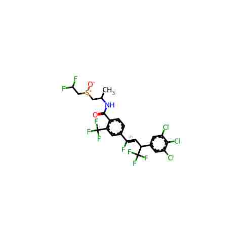 CC(C[S+]([O-])CC(F)F)NC(=O)c1ccc(/C(F)=C/C(c2cc(Cl)c(Cl)c(Cl)c2)C(F)(F)F)cc1C(F)(F)F